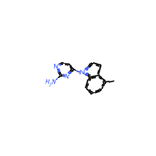 Cc1cccc2c1ccn2-c1ccnc(N)n1